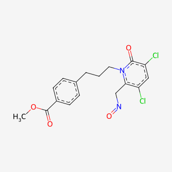 COC(=O)c1ccc(CCCn2c(CN=O)c(Cl)cc(Cl)c2=O)cc1